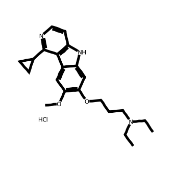 CCN(CC)CCCOc1cc2[nH]c3ccnc(C4CC4)c3c2cc1OC.Cl